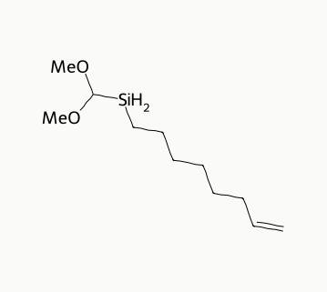 C=CCCCCCC[SiH2]C(OC)OC